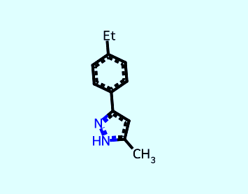 CCc1ccc(-c2cc(C)[nH]n2)cc1